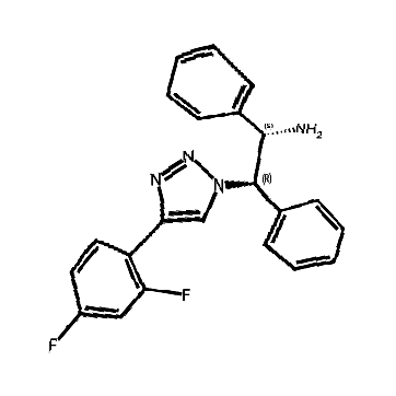 N[C@@H](c1ccccc1)[C@@H](c1ccccc1)n1cc(-c2ccc(F)cc2F)nn1